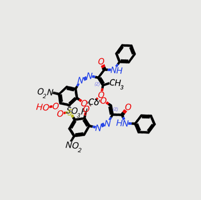 C/C1=C(\C(=O)Nc2ccccc2)N=Nc2cc([N+](=O)[O-])cc(S(=O)(=O)O)c2[O][Co]2([O]/C=C(/C(=O)Nc3ccccc3)N=Nc3cc([N+](=O)[O-])cc(SOOO)c3[O]2)[O]1